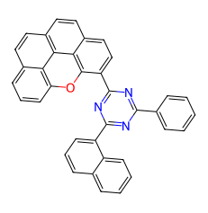 c1ccc(-c2nc(-c3ccc4ccc5ccc6cccc7c6c5c4c3O7)nc(-c3cccc4ccccc34)n2)cc1